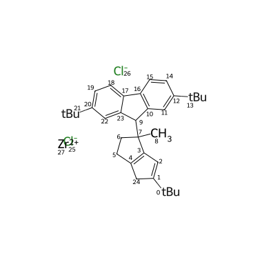 CC(C)(C)C1=CC2=C(CCC2(C)C2c3cc(C(C)(C)C)ccc3-c3ccc(C(C)(C)C)cc32)C1.[Cl-].[Cl-].[Zr+2]